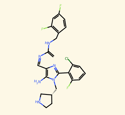 C=C(/N=C\c1nc(-c2c(F)cccc2Cl)n(C[C@@H]2CCNC2)c1N)NCc1ccc(F)cc1F